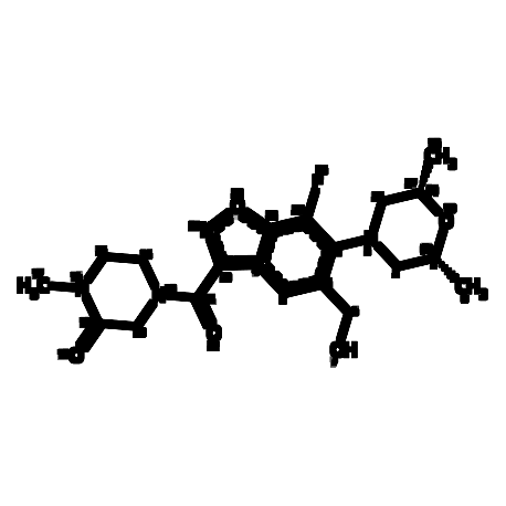 C[C@@H]1CN(c2c(CO)cc3c(C(=O)N4CCN(C)C(=O)C4)noc3c2F)C[C@H](C)O1